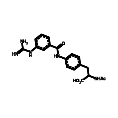 CC(=O)NC(Cc1ccc(NC(=O)c2cccc(NC(=N)N)c2)cc1)C(=O)O